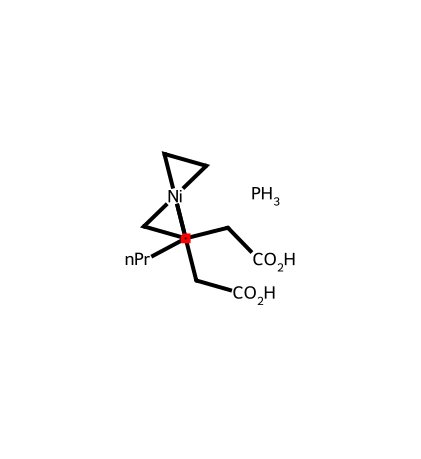 CCC[C](CC(=O)O)(CC(=O)O)[Ni]12([CH2][CH2]1)[CH2][CH2]2.P